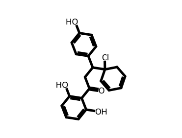 O=C(CC(c1ccc(O)cc1)C1(Cl)C=CC=CC1)c1c(O)cccc1O